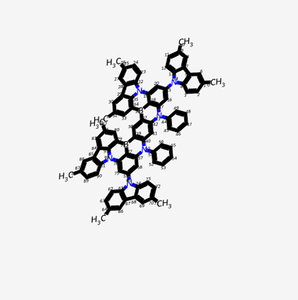 Cc1ccc2c(c1)c1cc(C)ccc1n2-c1cc2c3c(c1)-n1c4ccc(C)cc4c4cc(C)cc(c41)B3c1cc3c(cc1N2c1ccccc1)N(c1ccccc1)c1cc(-n2c4ccc(C)cc4c4cc(C)ccc42)cc2c1B3c1cc(C)cc3c4cc(C)ccc4n-2c13